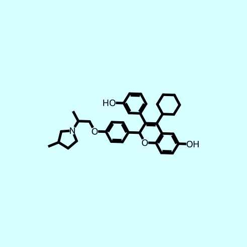 CC1CCN(C(C)COc2ccc(C3Oc4ccc(O)cc4C(C4CCCCC4)=C3c3cccc(O)c3)cc2)C1